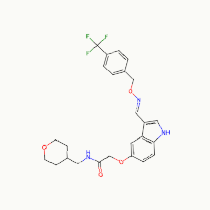 O=C(COc1ccc2[nH]cc(/C=N/OCc3ccc(C(F)(F)F)cc3)c2c1)NCC1CCOCC1